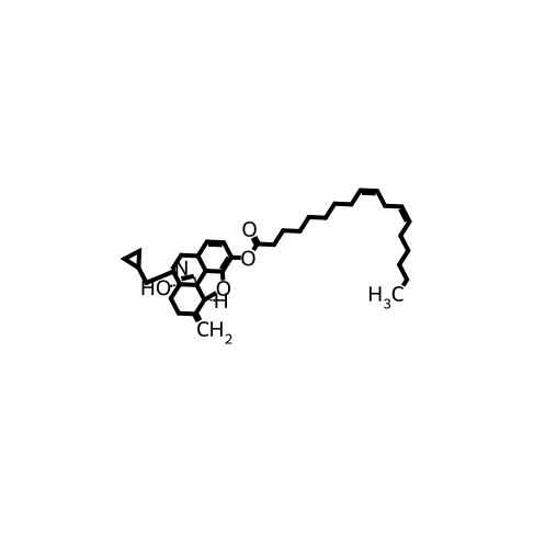 C=C1CC[C@@]2(O)C3CC4C=CC(OC(=O)CCCCCCC/C=C\C/C=C\CCCCC)=C5O[C@@H]1[C@]2(CCN3CC1CC1)C54